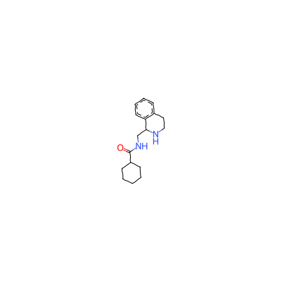 O=C(NCC1NCCc2ccccc21)C1CCCCC1